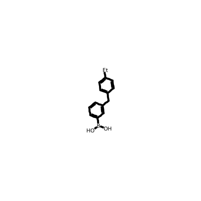 CCc1ccc(Cc2cccc(B(O)O)c2)cc1